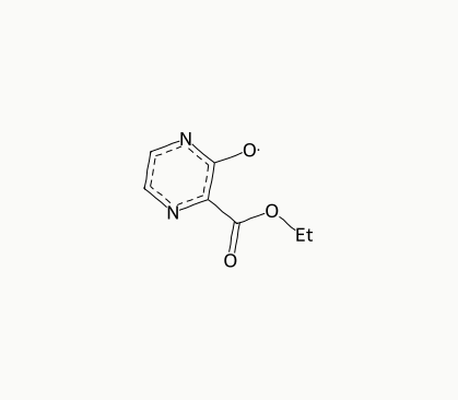 CCOC(=O)c1nccnc1[O]